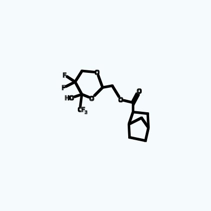 O=C(OCC1OCC(F)(F)C(O)(C(F)(F)F)O1)C1CC2CCC1C2